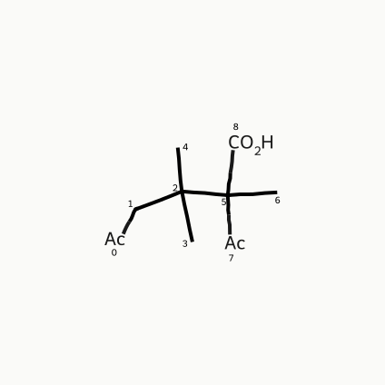 CC(=O)CC(C)(C)C(C)(C(C)=O)C(=O)O